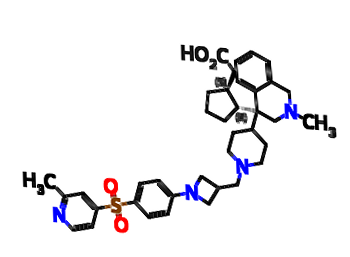 Cc1cc(S(=O)(=O)c2ccc(N3CC(CN4CCC(C5([C@@H]6CCC[C@H]6CC(=O)O)CN(C)Cc6ccccc65)CC4)C3)cc2)ccn1